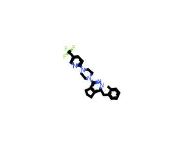 Cc1ccccc1Cc1nnc(N2CCN(c3ccc(C(F)(F)F)cn3)CC2)c2c1CCC2